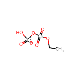 CC[O][Cr](=[O])(=[O])[O][Cr](=[O])(=[O])[OH]